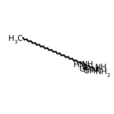 CCCCCCCCCCCCCCCCCCCCCCCCCCCCCCNN[C@@H](CCCNC(=N)N)C(=O)O